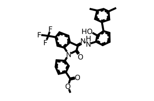 COC(=O)c1cccc(N2C(=O)/C(=N\Nc3cccc(-c4cc(C)cc(C)c4)c3O)c3ccc(C(F)(F)F)cc32)c1